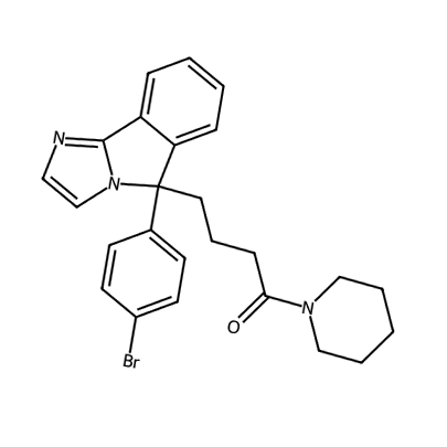 O=C(CCCC1(c2ccc(Br)cc2)c2ccccc2-c2nccn21)N1CCCCC1